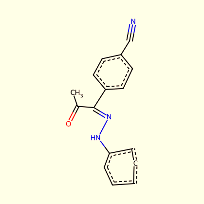 CC(=O)/C(=N\Nc1ccccc1)c1ccc(C#N)cc1